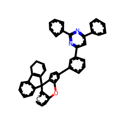 C1=CC2=C(CC1)c1ccccc1C21c2ccccc2Oc2cc(-c3cccc(-c4cc(-c5ccccc5)nc(-c5ccccc5)n4)c3)ccc21